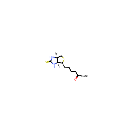 CNC(=O)CCCC[C@@H]1SC[C@@H]2NC(=S)N[C@@H]21